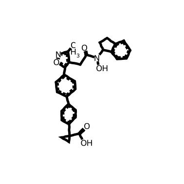 Cc1noc(-c2ccc(-c3ccc(C4(C(=O)O)CC4)cc3)cc2)c1CC(=O)N(O)C1CCc2ccccc21